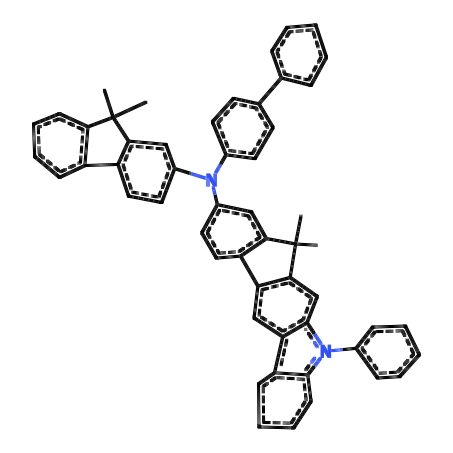 CC1(C)c2ccccc2-c2ccc(N(c3ccc(-c4ccccc4)cc3)c3ccc4c(c3)C(C)(C)c3cc5c(cc3-4)c3ccccc3n5-c3ccccc3)cc21